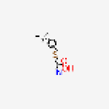 Cc1ccc(CSCCC(C=N)C(=O)O)cc1